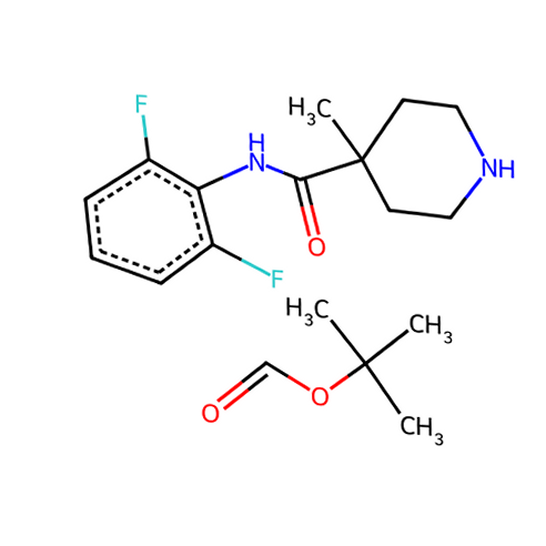 CC(C)(C)OC=O.CC1(C(=O)Nc2c(F)cccc2F)CCNCC1